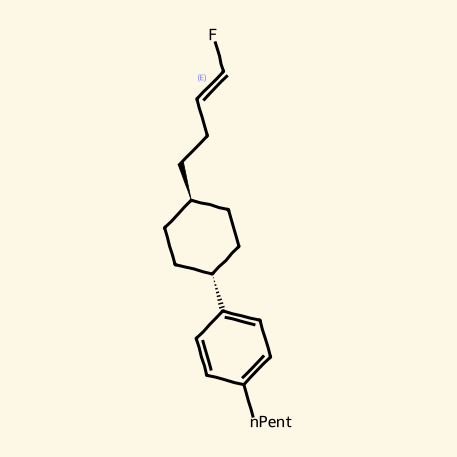 CCCCCc1ccc([C@H]2CC[C@H](CC/C=C/F)CC2)cc1